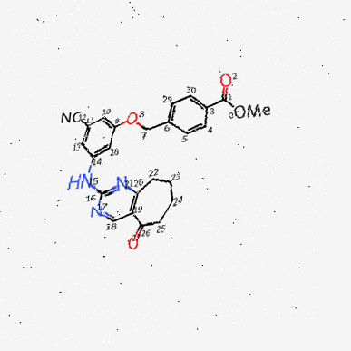 COC(=O)c1ccc(COc2cc(C#N)cc(Nc3ncc4c(n3)CCCCC4=O)c2)cc1